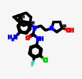 Nc1cccc([C@@]23CC[C@@H](N(CCN4CC[C@@H](O)C4)C(=O)Nc4ccc(F)c(Cl)c4)CC2C3)c1